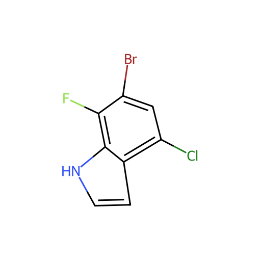 Fc1c(Br)cc(Cl)c2cc[nH]c12